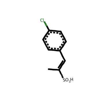 CC(=Cc1ccc(Cl)cc1)S(=O)(=O)O